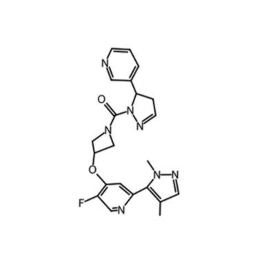 Cc1cnn(C)c1-c1cc(OC2CN(C(=O)N3N=CCC3c3cccnc3)C2)c(F)cn1